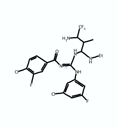 CCNC(N/C(=N\C(=O)c1ccc(Cl)c(F)c1)Nc1cc(F)cc(Cl)c1)C(C)C(N)C(F)(F)F